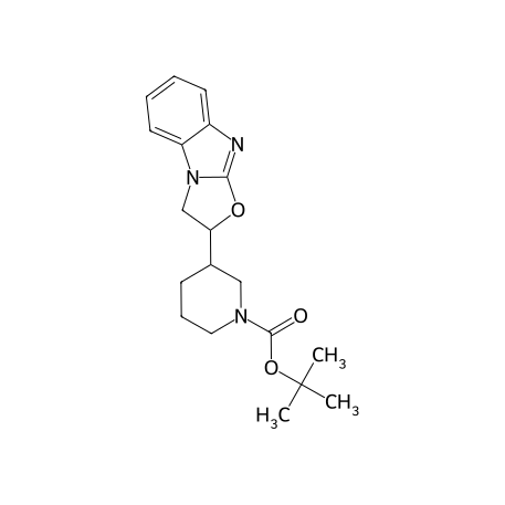 CC(C)(C)OC(=O)N1CCCC(C2Cn3c(nc4ccccc43)O2)C1